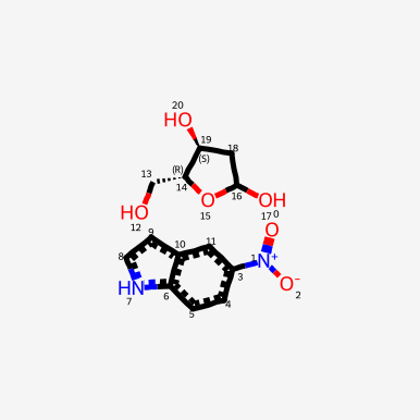 O=[N+]([O-])c1ccc2[nH]ccc2c1.OC[C@H]1OC(O)C[C@@H]1O